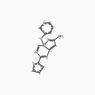 NC1=N[N+]2(Oc3cccnc3)C=NC(c3ccco3)=NC2=C1